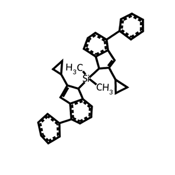 C[Si](C)(C1C(C2CC2)=Cc2c(-c3ccccc3)cccc21)C1C(C2CC2)=Cc2c(-c3ccccc3)cccc21